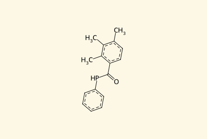 Cc1ccc(C(=O)Pc2ccccc2)c(C)c1C